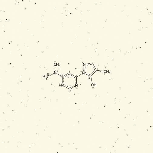 Cc1cnn(-c2cc(N(C)C)ncn2)c1O